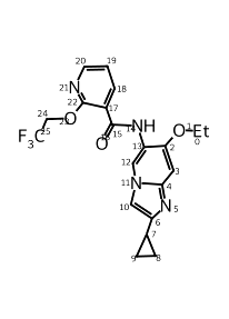 CCOc1cc2nc(C3CC3)cn2cc1NC(=O)c1cccnc1OCC(F)(F)F